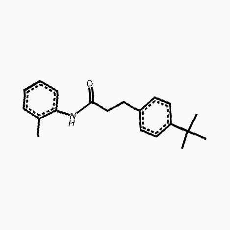 Cc1ccccc1NC(=O)CCc1ccc(C(C)(C)C)cc1